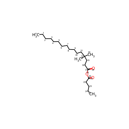 CCCCCCCCCCCCC(C)(C)CCC(=O)OC(=O)CCCC